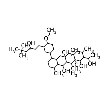 CCOC1CCC(C2CCC(C)C3C(O)C4C(C)[C@]5(C)C(O)C(C(C)O)C(C)C[C@]5(C)C[C@]4(C)CC23)CC1CCC(O)CC(C)(C)C